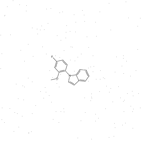 COc1cc(F)ccc1-n1ccc2c[c]ccc21